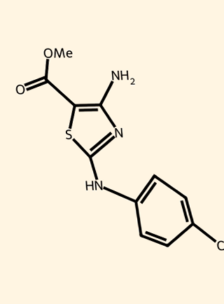 COC(=O)c1sc(Nc2ccc(C#N)cc2)nc1N